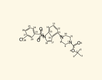 CC(C)(C)OC(=O)N1CCN(c2cccc3c2ccn3S(=O)(=O)c2cccc(Cl)c2)CC1